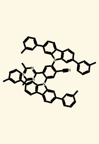 Cc1cccc(-c2ccc3c4ccc(-c5cccc(C)c5)cc4n(-c4cc(-c5nc(C)nc(C)n5)c(-n5c6cc(-c7cccc(C)c7)ccc6c6ccc(-c7cccc(C)c7)cc65)cc4C#N)c3c2)c1